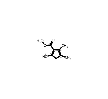 COC(=O)C1=C(O)CC(C)=C1C